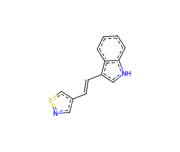 C(=Cc1c[nH]c2ccccc12)c1cnsc1